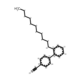 CCCCCCCCCCCc1ccccc1-c1ccc(C#N)cc1